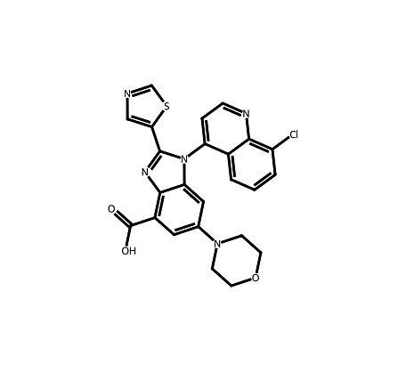 O=C(O)c1cc(N2CCOCC2)cc2c1nc(-c1cncs1)n2-c1ccnc2c(Cl)cccc12